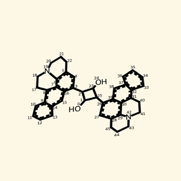 OC1C(c2cc3c4c5c(c6ccccc6cc25)CCN4CCC3)C(O)C1c1cc2c3c4c(c5ccccc5cc14)CCN3CCC2